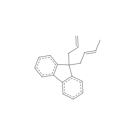 C=CCC1(C/C=C/C)c2ccccc2-c2ccccc21